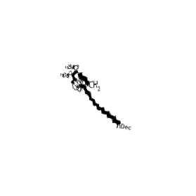 C=CC=CC[C@@H](OCCCC)[C@@H](OCCCC)[C@H](CO)NC(=O)CCCCCCCCCCCCCCCCCCCCCCCCC